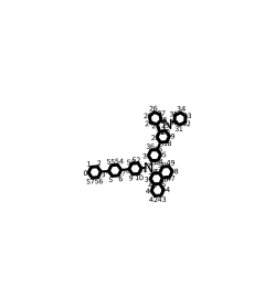 c1ccc(-c2ccc(-c3ccc(N(c4ccc(-c5ccc6c(c5)c5ccccc5n6-c5ccccc5)cc4)c4cc5ccccc5c5ccccc45)cc3)cc2)cc1